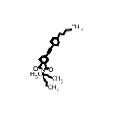 CCCCCc1ccc(C#Cc2ccc3c(c2)C(=O)N(C(C)(CCC)CCCC)C3=O)cc1